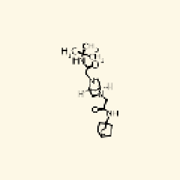 CC(C)(C)NC(=O)CN1C[C@@H]2C[C@H]1CN2CC(=O)NC12CCC(CC1)CC2